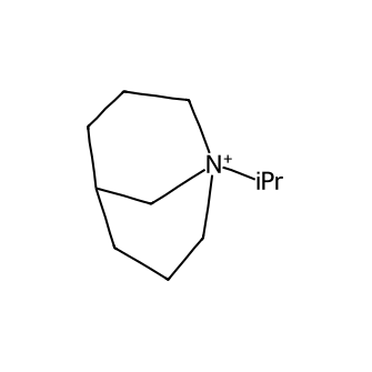 CC(C)[N+]12CCCC(CCC1)C2